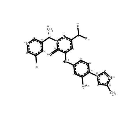 COc1cc(Nc2cc(C(F)F)nn([C@@H](C)c3cncc(F)c3)c2=O)ccc1-n1cnc(C)c1